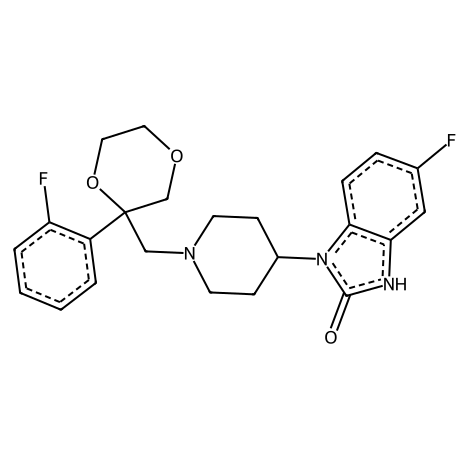 O=c1[nH]c2cc(F)ccc2n1C1CCN(CC2(c3ccccc3F)COCCO2)CC1